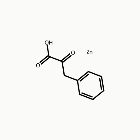 O=C(O)C(=O)Cc1ccccc1.[Zn]